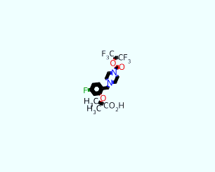 CC(C)(Oc1cc(F)ccc1CN1CCN(C(=O)OC(C(F)(F)F)C(F)(F)F)CC1)C(=O)O